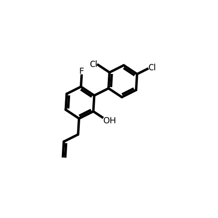 C=CCc1ccc(F)c(-c2ccc(Cl)cc2Cl)c1O